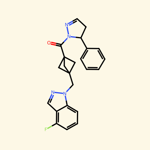 O=C(N1N=CCC1c1ccccc1)C12CC(Cn3ncc4c(F)cccc43)(C1)C2